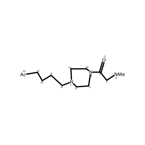 CNCC(=O)N1CCN(CCCCC(C)=O)CC1